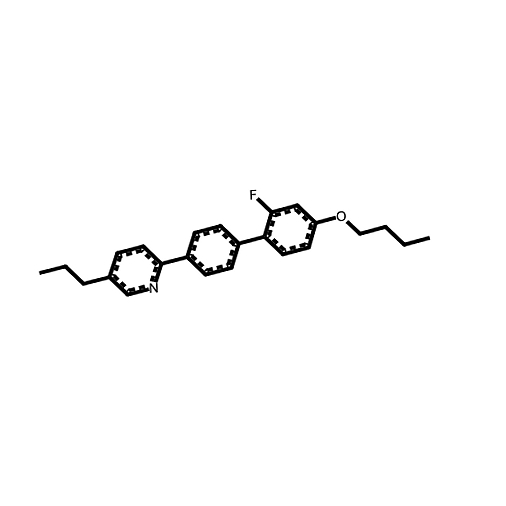 CCCCOc1ccc(-c2ccc(-c3ccc(CCC)cn3)cc2)c(F)c1